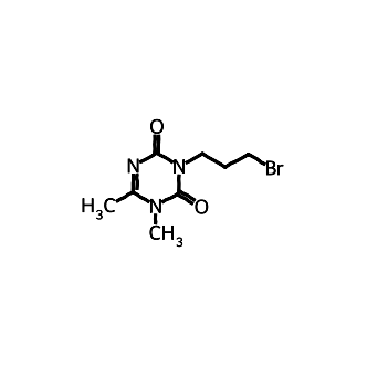 Cc1nc(=O)n(CCCBr)c(=O)n1C